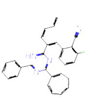 C=C/C=C\C(=C\c1cccc(Cl)c1C#N)C(=N)/N=C(\N=C\c1ccccc1)C1=CCC=CC=C1